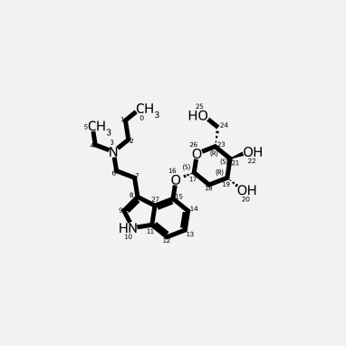 CCCN(CC)CCc1c[nH]c2cccc(O[C@H]3C[C@@H](O)[C@H](O)[C@@H](CO)O3)c12